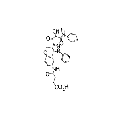 N#CC(C(=O)Nc1ccccc1)C(=O)c1nn(-c2ccccc2)c2c1COc1ccc(NC(=O)CCC(=O)O)cc1-2